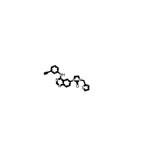 C#Cc1cccc(Nc2ncnc3ccc(-n4ccn(Cc5cccs5)c4=O)cc23)c1